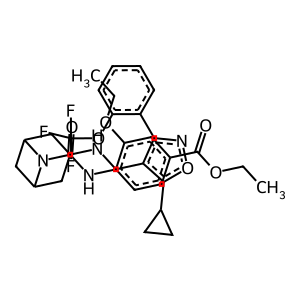 CCOC(=O)c1ccc(NC(=O)N2C3CC(NCc4c(-c5ccccc5OC(F)(F)F)noc4C4CC4)CC2C3)c(OCC)c1